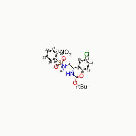 CN(CC(NC(=O)OC(C)(C)C)c1cccc(Cl)c1)S(=O)(=O)c1ccccc1[N+](=O)[O-]